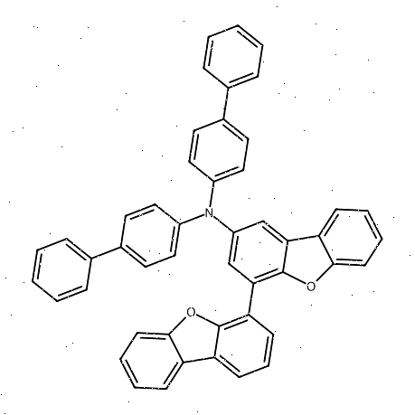 c1ccc(-c2ccc(N(c3ccc(-c4ccccc4)cc3)c3cc(-c4cccc5c4oc4ccccc45)c4oc5ccccc5c4c3)cc2)cc1